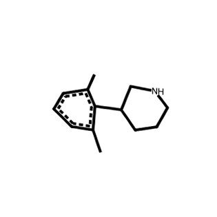 Cc1cccc(C)c1C1CCCNC1